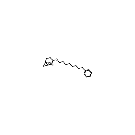 CC12CCC(OCCCCCCCCc3ccccc3)CC1O2